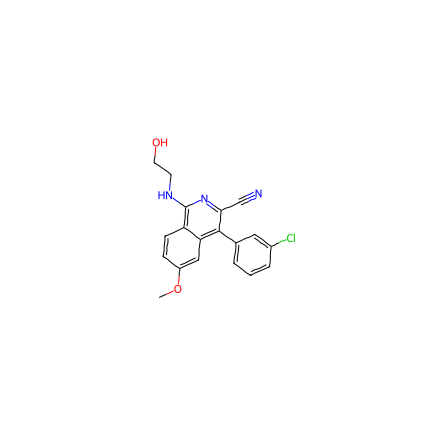 COc1ccc2c(NCCO)nc(C#N)c(-c3cccc(Cl)c3)c2c1